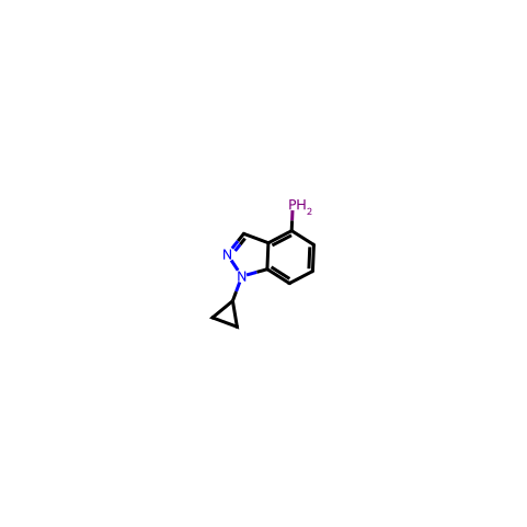 Pc1cccc2c1cnn2C1CC1